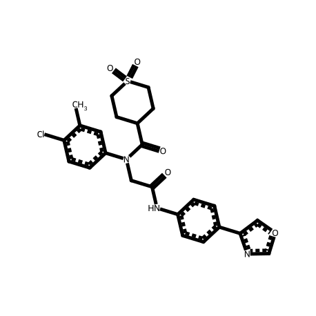 Cc1cc(N(CC(=O)Nc2ccc(-c3cocn3)cc2)C(=O)C2CCS(=O)(=O)CC2)ccc1Cl